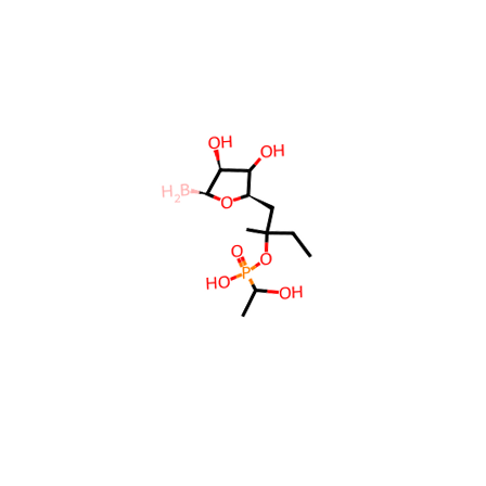 B[C@@H]1O[C@H](CC(C)(CC)OP(=O)(O)C(C)O)C(O)[C@@H]1O